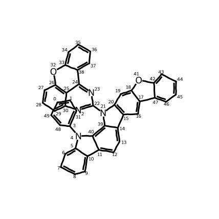 c1ccc(-n2c3ccccc3c3ccc4c5cc6c(cc5n(-c5nc7c8c(cccc8n5)Oc5ccccc5-7)c4c32)oc2ccccc26)cc1